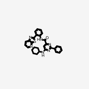 O=C(Nc1ccccc1-c1nc2cccnc2s1)c1cc(NC2CCCCC2)nc(-c2ccccc2)n1